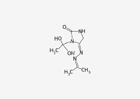 CC(C)=NN=C1CNC(=O)N1C(C)(O)O